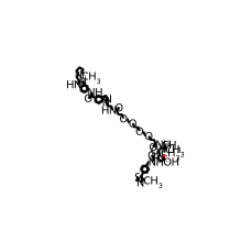 Cc1ncsc1-c1ccc(CNC(=O)[C@@H]2C[C@@H](O)CN2C(=O)[C@@H](NC(=O)CCOCCOCCOCCOCCC(=O)NCCn2ncc3cc(C(=O)Nc4ccc5[nH]c(CN6CCC[C@@H]6C)nc5c4)ccc32)C(C)(C)C)cc1